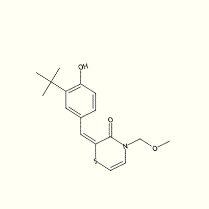 COCN1C=CS/C(=C/c2ccc(O)c(C(C)(C)C)c2)C1=O